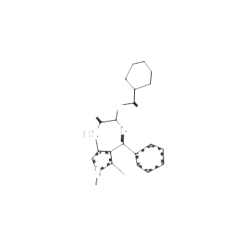 Cc1c2c(cn1C)NC(=O)C(OC(=O)C1CCCCC1)N=C2c1ccccc1